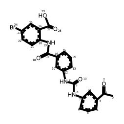 CC(=O)c1cccc(NC(=O)Nc2cccc(C(=O)Nc3ccc(Br)cc3C(=O)O)c2)c1